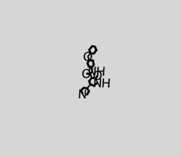 O=C(Nc1ccc(Oc2ccccc2)cc1)c1cc(-c2ccncc2)c[nH]c1=O